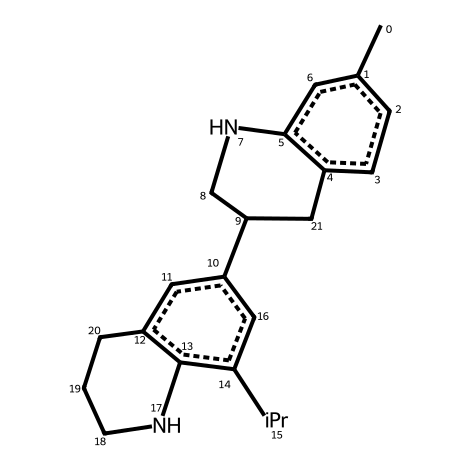 Cc1ccc2c(c1)NCC(c1cc3c(c(C(C)C)c1)NCCC3)C2